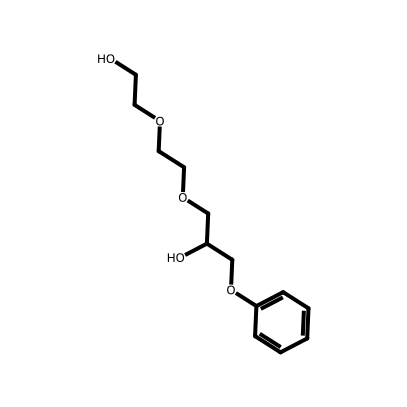 OCCOCCOCC(O)COc1ccccc1